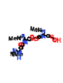 CNCCN(C)Cc1c[nH]nc1C1CCC2(CC1)CCC(n1cc(CN(C)CCNC)c(C3CCC(OCCOc4ccc(-n5cc(CN(C)CCNC)c(C6CCC(OCCO)CC6)n5)cc4)CC3)n1)CO2